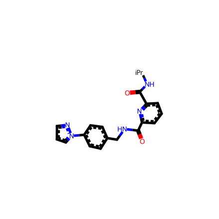 CC(C)NC(=O)c1cccc(C(=O)NCc2ccc(-n3cccn3)cc2)n1